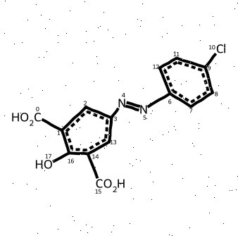 O=C(O)c1cc(N=Nc2ccc(Cl)cc2)cc(C(=O)O)c1O